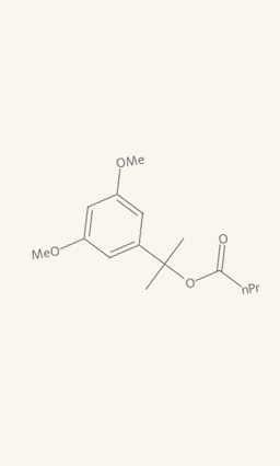 [CH2]CCC(=O)OC(C)(C)c1cc(OC)cc(OC)c1